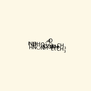 CCO[C@H](CC=C(C)C)CC1C(OC)C(OC(=O)N[C@H]2CC[C@H](NC(O)CNI)CC2)CC[C@]12CO2